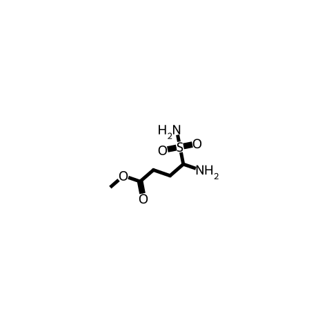 COC(=O)CCC(N)S(N)(=O)=O